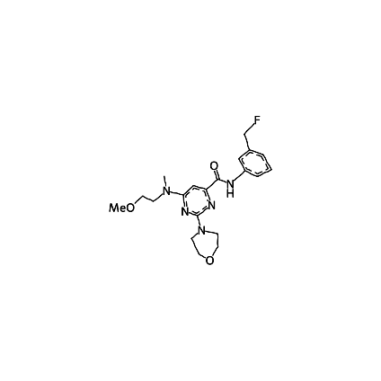 COCCN(C)c1cc(C(=O)Nc2cccc(CF)c2)nc(N2CCOCC2)n1